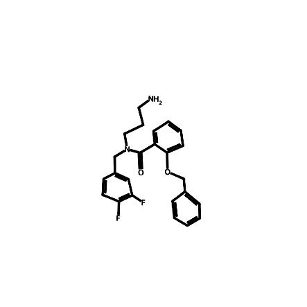 NCCCN(Cc1ccc(F)c(F)c1)C(=O)c1ccccc1OCc1ccccc1